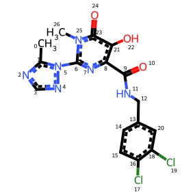 Cc1ncnn1-c1nc(C(=O)NCc2ccc(Cl)c(Cl)c2)c(O)c(=O)n1C